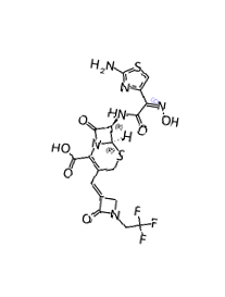 Nc1nc(/C(=N/O)C(=O)N[C@@H]2C(=O)N3C(C(=O)O)=C(C=C4CN(CC(F)(F)F)C4=O)CS[C@H]23)cs1